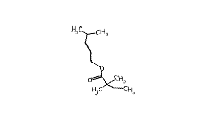 CCC(C)(C)C(=O)OCCCC(C)C